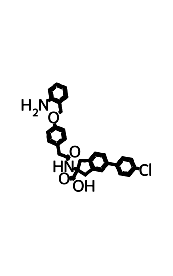 Nc1ccccc1COc1ccc(CC(=O)NC2(C(=O)O)Cc3ccc(-c4ccc(Cl)cc4)cc3C2)cc1